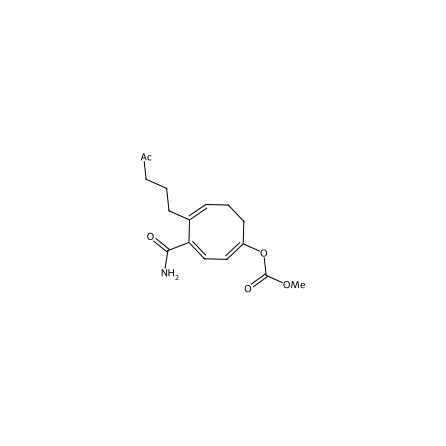 COC(=O)O/C1=C/C=C(C(N)=O)\C(CCCC(C)=O)=C/CC1